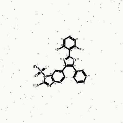 CC(C)S(=O)(=O)n1c(N)nc2ccc(-c3nc(-c4c(F)cccc4F)oc3-c3ccccc3)cc21